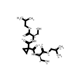 CC(C)COC(=O)[C@@H](CO)NC(=O)C1(C(=O)N[C@H](CO)C(=O)OCC(C)C)CC1